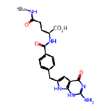 CC(C)(C)NC(=O)CC[C@H](NC(=O)c1ccc(Cc2cc3c(=O)nc(N)[nH]c3[nH]2)cc1)C(=O)O